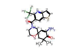 CC1(C)CC2(C=C(N)C1=O)CN(C(=O)c1cc3sccc3nc1C(F)(F)F)CCO2